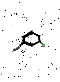 CC(=O)Nc1[c]ccc(Cl)c1